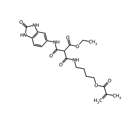 C=C(C)C(=O)OCCCCNC(=O)C(C(=O)Nc1ccc2[nH]c(=O)[nH]c2c1)C(=O)OCC